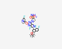 CC(C)[Si](Oc1cc(-c2ncc3c(N4CCC[C@@H](S(N)(=O)=O)C4)nc(OC[C@@]45CCCN4C[C@H](F)C5)nc3c2F)c2c(F)c(F)ccc2c1)(C(C)C)C(C)C